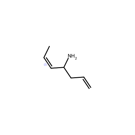 C=CCC(N)/C=C\C